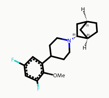 COc1c(F)cc(F)cc1C1CCN([C@@H]2C[C@H]3CC[C@@H]2C3)CC1